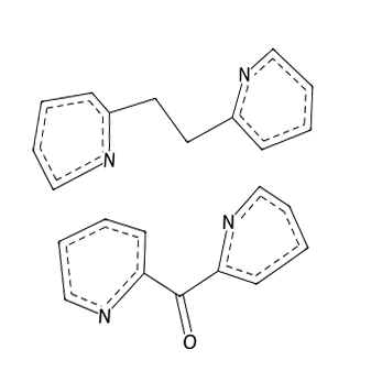 O=C(c1ccccn1)c1ccccn1.c1ccc(CCc2ccccn2)nc1